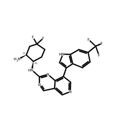 N[C@H]1CC(F)(F)CC[C@H]1Nc1ncc2cncc(-c3c[nH]c4cc(C(F)(F)F)ccc34)c2n1